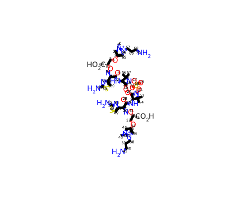 C[n+]1cc(OC[C@H](O/N=C(\C(=O)NC2C(=O)N(OS(=O)(=O)ON3C(=O)C(NC(=O)/C(=N\O[C@@H](COc4cn(CCCN)[n+](C)c4)C(=O)O)c4csc(N)n4)C3(C)C)C2(C)C)c2csc(N)n2)C(=O)O)cn1CCCN